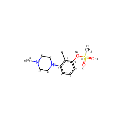 CCCN1CCN(c2cccc(OS(=O)(=O)C(F)(F)F)c2C)CC1